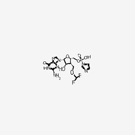 Nc1nc2c(ncn2[C@@H]2O[C@H](COP(=O)(O)n3ccnc3)[C@@H](COC(F)F)[C@H]2O)c(=O)[nH]1